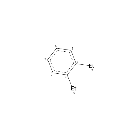 CCc1[c][c]ccc1CC